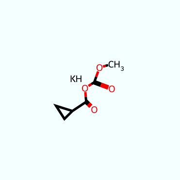 COC(=O)OC(=O)C1CC1.[KH]